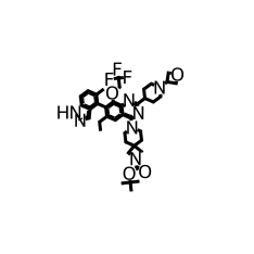 CCc1cc2c(N3CCC4(CC3)CN(C(=O)OC(C)(C)C)C4)nc(C3CCN(C4COC4)CC3)nc2c(OCC(F)(F)F)c1-c1c(C)ccc2[nH]ncc12